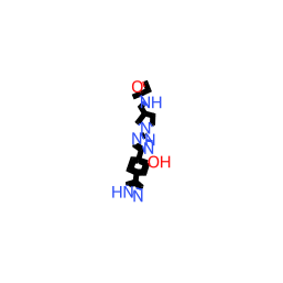 CC1(NCC2CCN(c3ncc(-c4ccc(-c5cn[nH]c5)cc4O)nn3)C2)CCO1